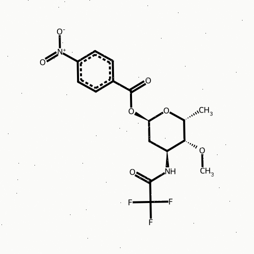 CO[C@@H]1[C@@H](NC(=O)C(F)(F)F)C[C@@H](OC(=O)c2ccc([N+](=O)[O-])cc2)O[C@@H]1C